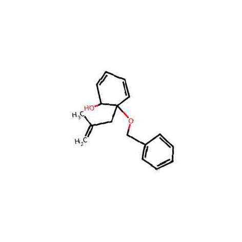 C=C(C)CC1(OCc2ccccc2)C=CC=CC1O